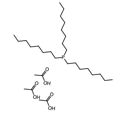 CC(=O)O.CC(=O)O.CC(=O)O.CCCCCCCCP(CCCCCCCC)CCCCCCCC